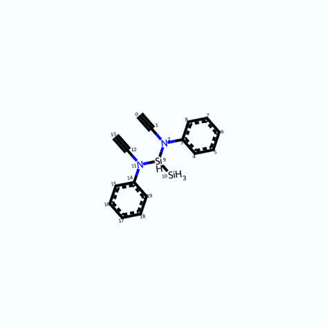 C#CN(c1ccccc1)[SiH]([SiH3])N(C#C)c1ccccc1